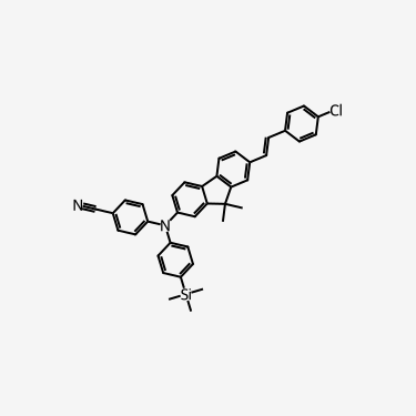 CC1(C)c2cc(/C=C/c3ccc(Cl)cc3)ccc2-c2ccc(N(c3ccc(C#N)cc3)c3ccc([Si](C)(C)C)cc3)cc21